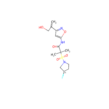 C=C(CO)c1cc(NC(=O)C(C)(C)S(=O)(=O)N2CC[C@@H](F)C2)on1